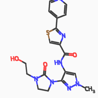 Cn1cc(NC(=O)c2csc(-c3ccncc3)n2)c(N2CCN(CCO)C2=O)n1